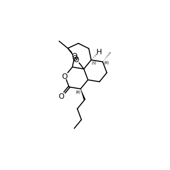 CCCC[C@H]1C(=O)OC2OC3(C)CC[C@H]4[C@H](C)CCC1C24OO3